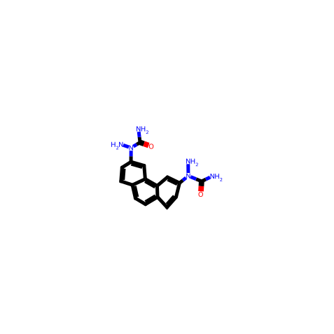 NC(=O)N(N)c1ccc2ccc3ccc(N(N)C(N)=O)cc3c2c1